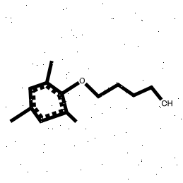 Cc1cc(C)c(OCCCCO)c(C)c1